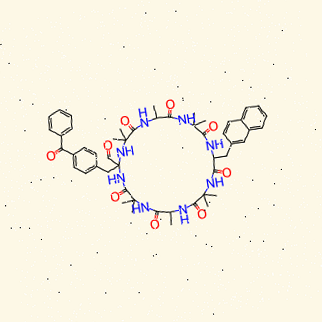 CC1NC(=O)C(C)(C)NC(=O)C(Cc2ccc3ccccc3c2)NC(=O)C(C)(C)NC(=O)C(C)NC(=O)C(C)(C)NC(C=O)(Cc2ccc(C(=O)c3ccccc3)cc2)NC(=O)C(C)(C)NC1=O